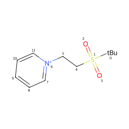 CC(C)(C)S(=O)(=O)CC[n+]1ccccc1